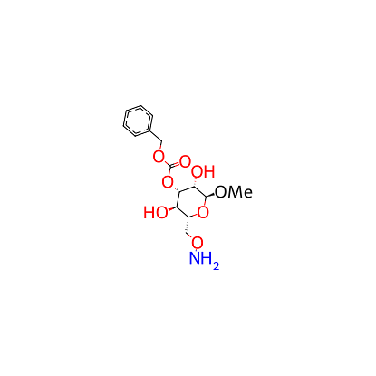 CO[C@H]1O[C@H](CON)[C@@H](O)[C@H](OC(=O)OCc2ccccc2)[C@@H]1O